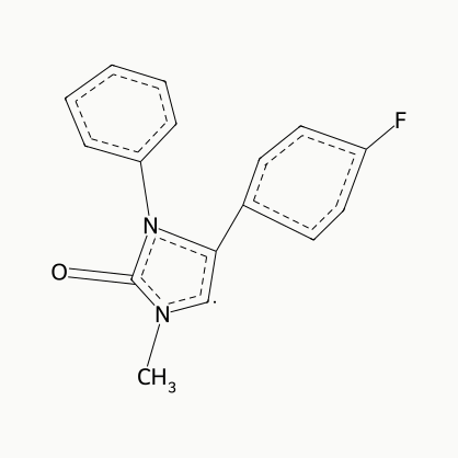 Cn1[c]c(-c2ccc(F)cc2)n(-c2ccccc2)c1=O